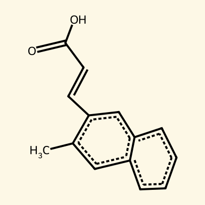 Cc1cc2ccccc2cc1/C=C/C(=O)O